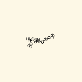 O=C(CN1CC[C@@H](C(=O)Nc2ccc3[nH]nc(-c4ccc5c(c4)OCO5)c3c2)C1)C1CCN(c2ccc(-c3ncccn3)cc2)CC1